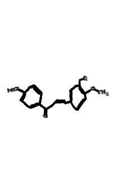 COc1ccc(/C=C/C(=O)c2ccc(O)cc2)cc1CCl